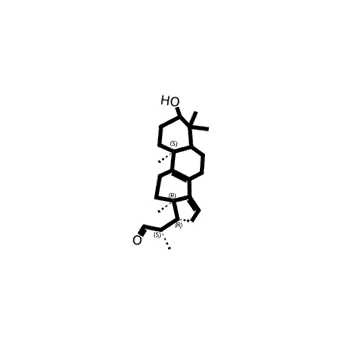 C[C@H](C=O)[C@H]1CC=C2C3=C(CC[C@@]21C)[C@@]1(C)CCC(O)C(C)(C)C1CC3